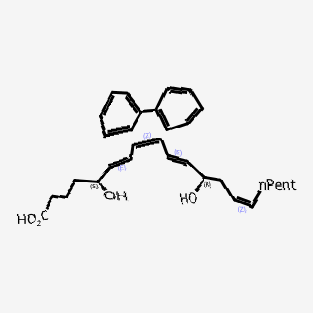 CCCCC/C=C\C[C@@H](O)/C=C/C=C\C=C\[C@@H](O)CCCC(=O)O.c1ccc(-c2ccccc2)cc1